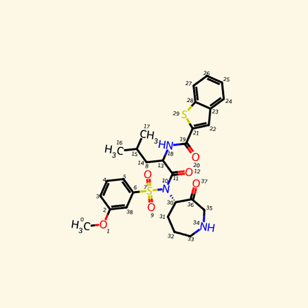 COc1cccc(S(=O)(=O)N(C(=O)C(CC(C)C)NC(=O)c2cc3ccccc3s2)[C@H]2CCCNCC2=O)c1